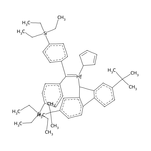 CC[Si](CC)(CC)c1ccc([C](c2ccc([Si](CC)(CC)CC)cc2)=[Hf]([CH]2C=CC=C2)[CH]2c3cc(C(C)(C)C)ccc3-c3ccc(C(C)(C)C)cc32)cc1